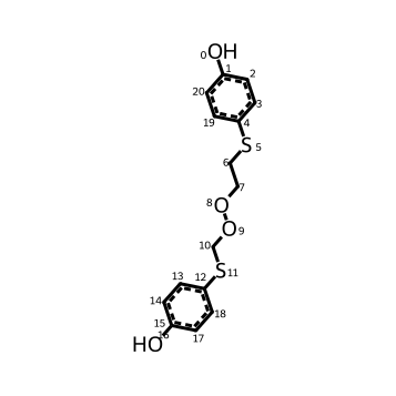 Oc1ccc(SCCOOCSc2ccc(O)cc2)cc1